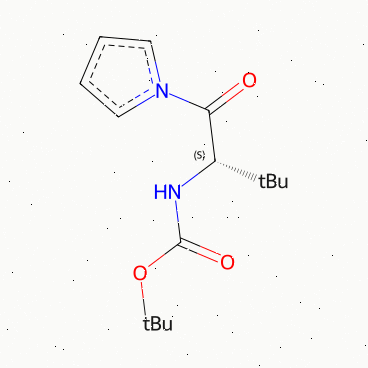 CC(C)(C)OC(=O)N[C@H](C(=O)n1cccc1)C(C)(C)C